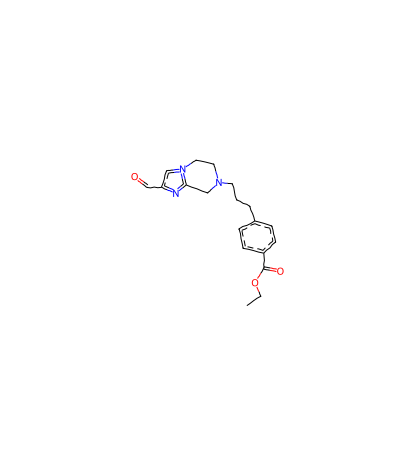 CCOC(=O)c1ccc(CCCN2CCn3cc(C=O)nc3C2)cc1